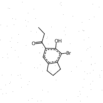 CCC(=O)c1cc2c(c(Br)c1O)CCC2